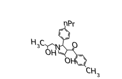 CCCc1ccc(C2C(C(=O)c3ccc(C)cc3)C(O)=CN2CC(C)O)cc1